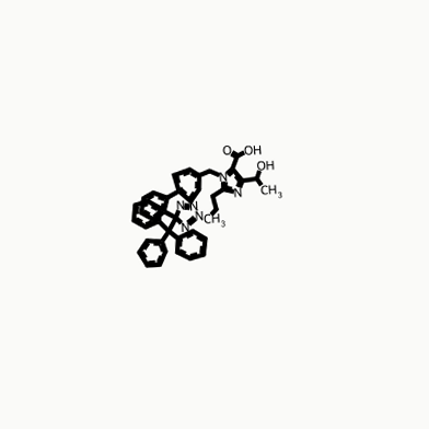 CCCc1nc(C(C)O)c(C(=O)O)n1Cc1ccc(-c2ccccc2C2(C(c3ccccc3)(c3ccccc3)c3ccccc3)N=NN=N2)cc1